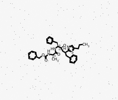 CCCc1cnc(C(Cc2ccccc2)C[C@H](O)[C@H](Cc2ccccc2)NC(=O)[C@H](C)NC(=O)OCc2ccccc2)s1